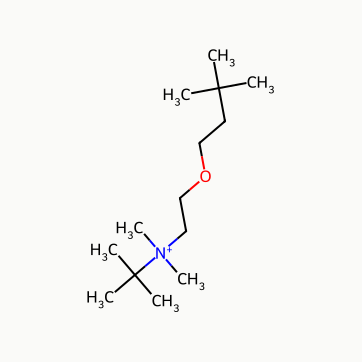 CC(C)(C)CCOCC[N+](C)(C)C(C)(C)C